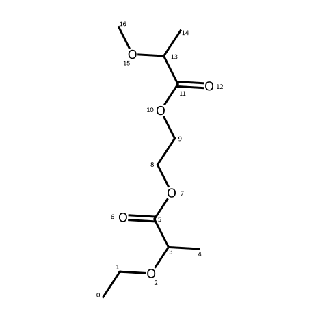 CCOC(C)C(=O)OCCOC(=O)C(C)OC